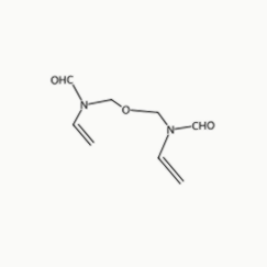 C=CN(C=O)COCN(C=C)C=O